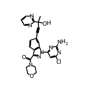 CC(O)(C#Cc1ccc2c(C(=O)N3CCOCC3)nn(-c3cc(Cl)nc(N)n3)c2c1)c1ncccn1